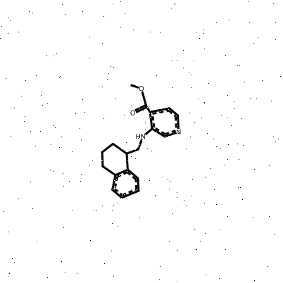 COC(=O)c1ccncc1NCC1CCCc2ccccc21